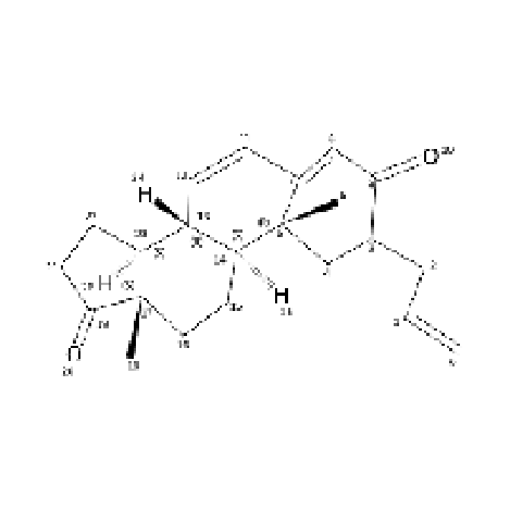 C=CCC1C[C@@]2(C)C(=CC1=O)C=C[C@@H]1[C@@H]2CC[C@]2(C)C(=O)CC[C@@H]12